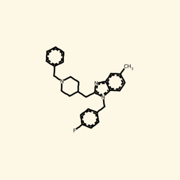 Cc1ccc2c(c1)nc(CC1CCN(Cc3ccccc3)CC1)n2Cc1ccc(F)cc1